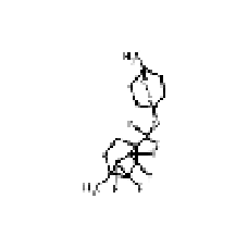 CC12CCC(OC(F)(F)C34CCC(C)(CC3)C(F)(F)C4(F)F)(CC1)CC2